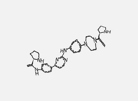 C=C(Nc1ccc(-c2ccnc(Nc3ccc(N4CCN(C(=C)[C@H]5CCCN5)CC4)cc3)n2)cc1)[C@H]1CCCN1